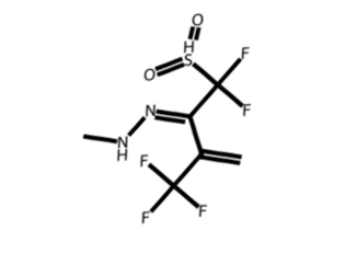 C=C(/C(=N\NC)C(F)(F)[SH](=O)=O)C(F)(F)F